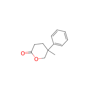 CC1(c2ccccc2)CCC(=O)OC1